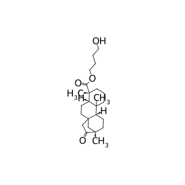 CC12CCC[C@@](C)(C(=O)OCCCCO)[C@H]1CCC13CC(=O)[C@@](C)(CC[C@H]12)C3